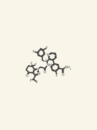 NC(=O)c1cc(-c2cccnc2[C@H](Cc2cc(F)cc(F)c2)NC(=O)Cn2nc(C(F)F)c3c2C(F)(F)CCC3=O)ccc1F